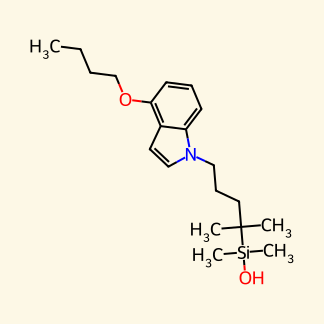 CCCCOc1cccc2c1ccn2CCCC(C)(C)[Si](C)(C)O